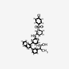 CC(NO)c1cccc(-c2nc3sccn3c2-c2ccnc(N[C@@H]3CCCN(S(=O)(=O)c4ccc(Cl)cc4)C3)n2)c1